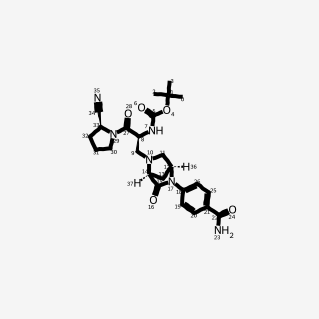 CC(C)(C)OC(=O)N[C@@H](CN1C[C@@H]2C[C@H]1C(=O)N2c1ccc(C(N)=O)cc1)C(=O)N1CCC[C@H]1C#N